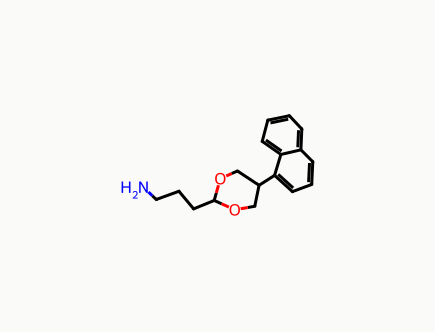 NCCCC1OCC(c2cccc3ccccc23)CO1